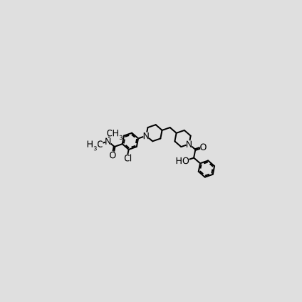 CN(C)C(=O)c1ccc(N2CCC(CC3CCN(C(=O)C(O)c4ccccc4)CC3)CC2)cc1Cl